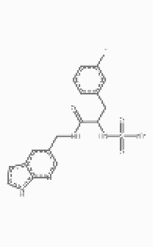 CCCS(=O)(=O)NC(Cc1cccc(F)c1)C(=O)NCc1cnc2[nH]ccc2c1